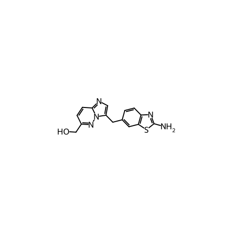 Nc1nc2ccc(Cc3cnc4ccc(CO)nn34)cc2s1